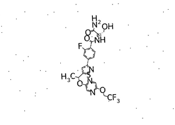 CC(Oc1cnc(OCC(F)(F)F)cn1)c1cc(-c2ccc(C(=O)N[C@@H](CO)C(N)=O)c(F)c2)ns1